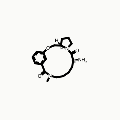 CN1CCCC[C@H](N)C(=O)N2CCC[C@H]2COc2cccc(c2)C1=O